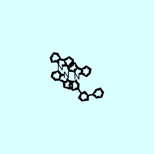 c1ccc(-c2cccc(-c3cccc(-n4c5ccccc5c5cccc(-n6c7ccccc7c7cccc(-n8c9ccccc9c9ccccc98)c76)c54)c3)c2)cc1